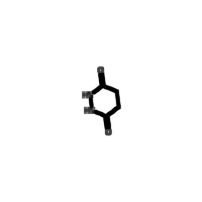 O=C1CCC(=O)NN1